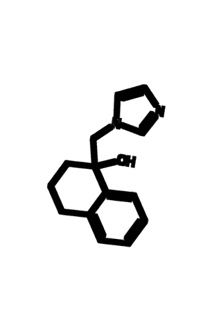 OC1(Cn2ccnc2)CCCc2ccccc21